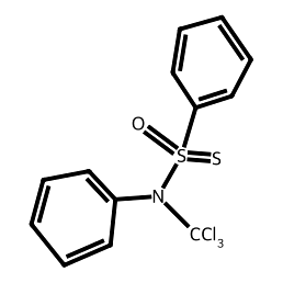 O=S(=S)(c1ccccc1)N(c1ccccc1)C(Cl)(Cl)Cl